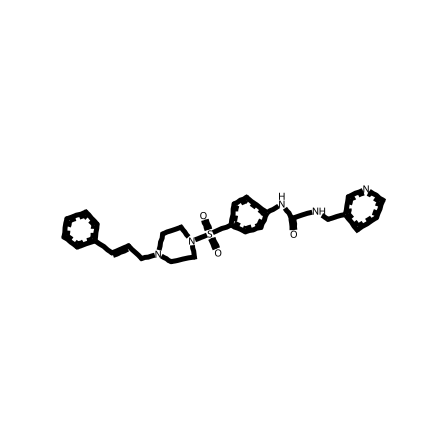 O=C(NCc1cccnc1)Nc1ccc(S(=O)(=O)N2CCN(CC=Cc3ccccc3)CC2)cc1